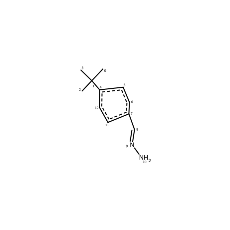 CC(C)(C)c1ccc(C=NN)cc1